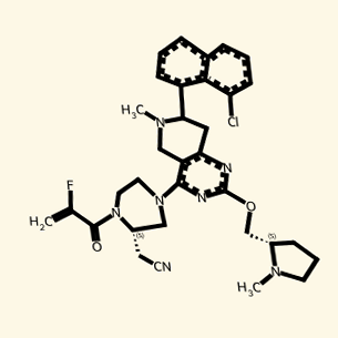 C=C(F)C(=O)N1CCN(c2nc(OC[C@@H]3CCCN3C)nc3c2CN(C)C(c2cccc4cccc(Cl)c24)C3)C[C@@H]1CC#N